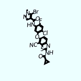 Cn1ncc(C(=O)Nc2cc(Oc3ccc4nc(NC(=O)C5CC5)sc4c3C#N)c(Cl)cc2F)c1Br